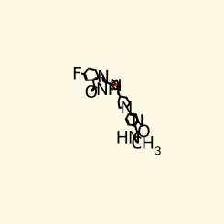 CNC(=O)c1ccc(N2CCC(N3CC4(c5nc6ccc(F)cc6c(=O)[nH]5)CC3C4)CC2)cn1